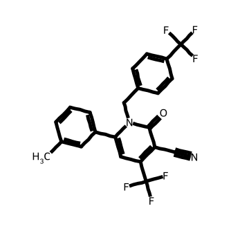 Cc1cccc(-c2cc(C(F)(F)F)c(C#N)c(=O)n2Cc2ccc(C(F)(F)F)cc2)c1